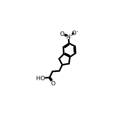 O=C(O)CCC1Cc2ccc([N+](=O)[O-])cc2C1